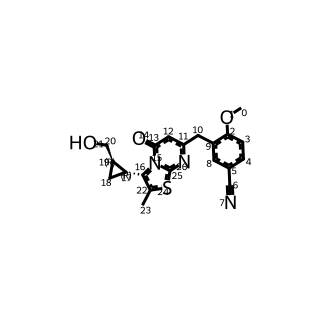 COc1ccc(C#N)cc1Cc1cc(=O)n2c([C@@H]3C[C@H]3CO)c(C)sc2n1